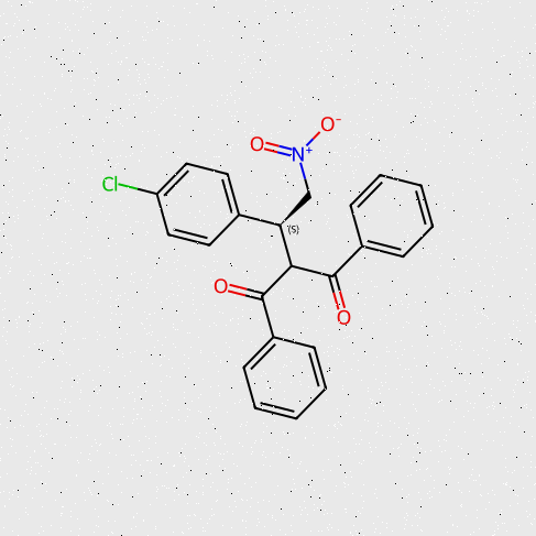 O=C(c1ccccc1)C(C(=O)c1ccccc1)[C@H](C[N+](=O)[O-])c1ccc(Cl)cc1